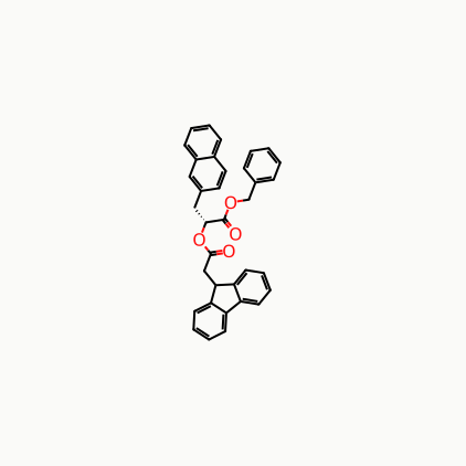 O=C(CC1c2ccccc2-c2ccccc21)O[C@H](Cc1ccc2ccccc2c1)C(=O)OCc1ccccc1